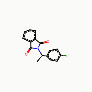 C[C@H](c1ccc(Cl)cc1)N1C(=O)c2ccccc2C1=O